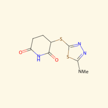 CNc1nnc(SC2CCC(=O)NC2=O)s1